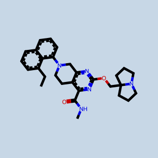 CCc1cccc2cccc(N3CCc4c(nc(OCC56CCCN5CCC6)nc4C(=O)NC)C3)c12